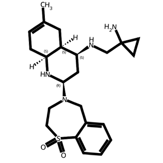 CC1=CC[C@@H]2N[C@H](N3CCS(=O)(=O)c4ccccc4C3)C[C@H](NCC3(N)CC3)[C@@H]2C1